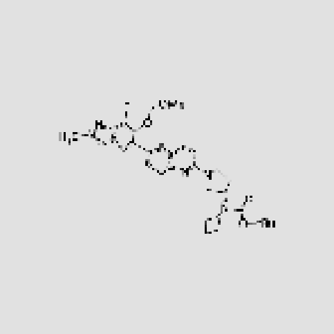 COCOc1c(-c2ccc3nc(N4CC[C@@H](N(C(=O)OC(C)(C)C)C5CCC5)C4)ccc3n2)cc2cn(C)nc2c1F